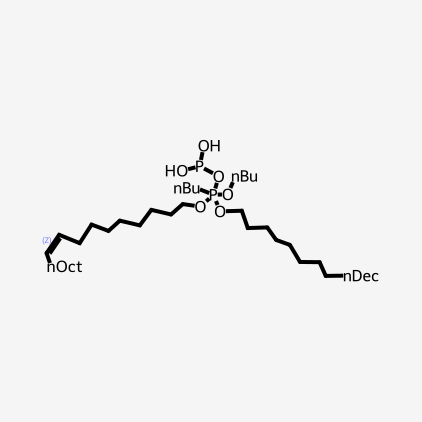 CCCCCCCC/C=C\CCCCCCCCOP(CCCC)(OCCCC)(OCCCCCCCCCCCCCCCCCC)OP(O)O